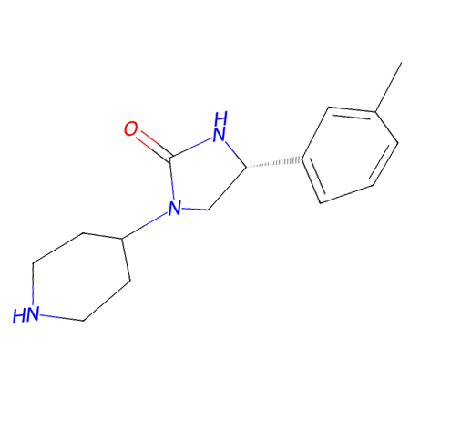 Cc1cccc([C@@H]2CN(C3CCNCC3)C(=O)N2)c1